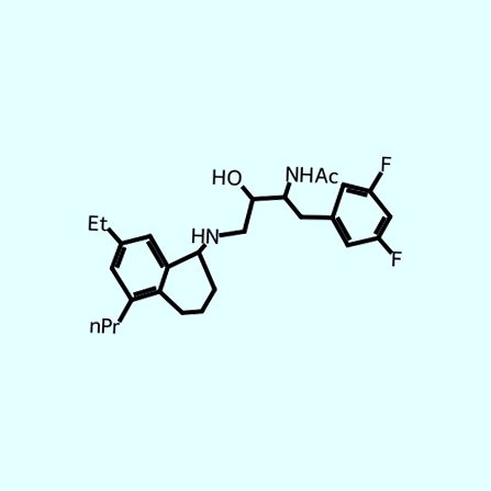 CCCc1cc(CC)cc2c1CCCC2NCC(O)C(Cc1cc(F)cc(F)c1)NC(C)=O